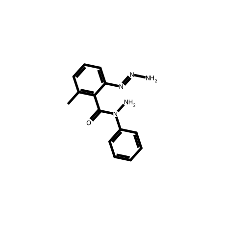 Cc1cccc(N=NN)c1C(=O)N(N)c1ccccc1